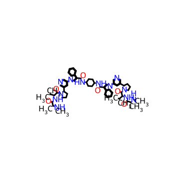 CNC(C)C(=O)NC(C(=O)N1CCCC1c1cncc(-n2cc(C(=O)NC3CCC(NC(=O)c4cn(-c5cncc(C6CCCN6C(=O)C(NC(=O)C(C)NC)C(C)C)c5)c5ccccc45)CC3)c3ccccc32)c1)C(C)C